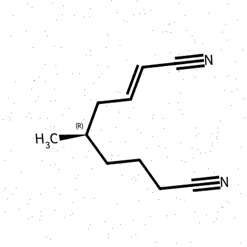 C[C@@H](CC=CC#N)CCCC#N